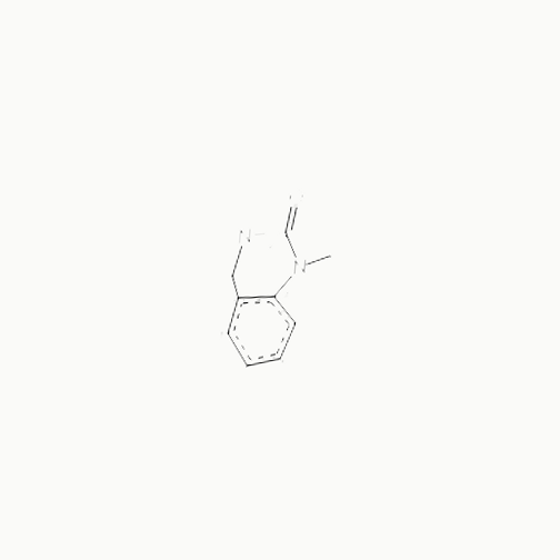 CN([C]=O)c1ccccc1CN